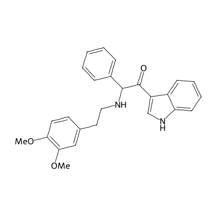 COc1ccc(CCNC(C(=O)c2c[nH]c3ccccc23)c2ccccc2)cc1OC